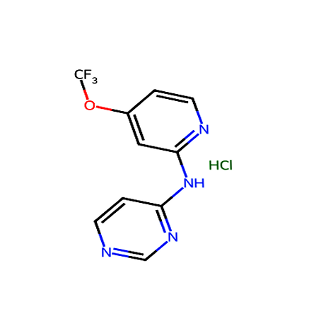 Cl.FC(F)(F)Oc1ccnc(Nc2ccncn2)c1